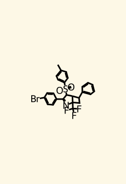 Cc1ccc(S(=O)(=O)C2C(c3ccc(Br)cc3)=NC3(C(F)(F)F)CC(c4ccccc4)C23)cc1